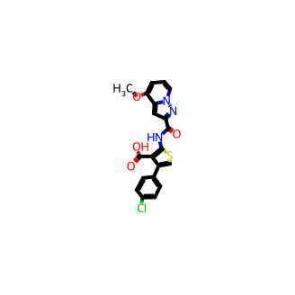 COc1cccn2nc(C(=O)Nc3scc(-c4ccc(Cl)cc4)c3C(=O)O)cc12